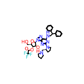 O=C(O[C@H]1[C@@H](O)[C@H](n2cnc3c(NCC(c4ccccc4)c4ccccc4)nc(N4CCC[C@H]4CN4CCCC4)nc32)O[C@@H]1CO)C(F)(F)F